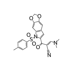 Cc1ccc(S(=O)(=O)n2c(C(=O)C(C#N)=CN(C)C)cc3cc4c(cc32)OCO4)cc1